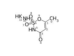 CC1=CC(=O)NS(=O)(=O)O1.N.[KH]